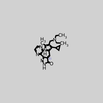 CCN(CC)Cc1c(C)[nH]c(/C=C2/C(=O)NN=C2c2cnccn2)c1C1CC1